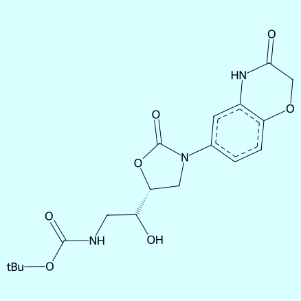 CC(C)(C)OC(=O)NCC(O)[C@H]1CN(c2ccc3c(c2)NC(=O)CO3)C(=O)O1